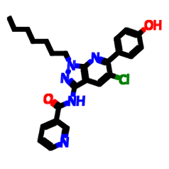 CCCCCCCn1nc(NC(=O)c2cccnc2)c2cc(Cl)c(-c3ccc(O)cc3)nc21